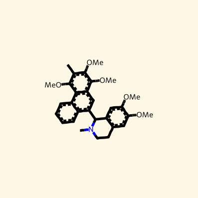 COc1cc2c(cc1OC)C(c1cc3c(OC)c(OC)c(C)c(OC)c3c3ccccc13)N(C)CC2